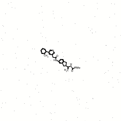 C=C(NC(=O)NC)C1Cc2ccc(NC(=O)Cc3cncc(-c4ccccc4C)c3)cc2C1